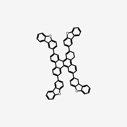 C1=C(c2ccc3oc4ccccc4c3c2)CCc2c1c1c3cc(-c4ccc5oc6ccccc6c5c4)ccc3c3ccc(-c4ccc5oc6ccccc6c5c4)cc3c1c1cc(C3=CC=C4Oc5ccccc5C4C3)ccc21